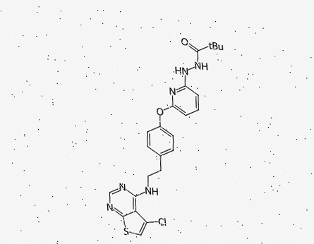 CC(C)(C)C(=O)NNc1cccc(Oc2ccc(CCNc3ncnc4scc(Cl)c34)cc2)n1